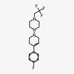 Fc1ccc(C2=CCN(N3CCN(CC(F)(F)F)CC3)CC2)cc1